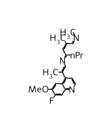 CCCC(/C=C(C)\C=N/C)=N\C=C(/C)c1ccnc2cc(F)c(OC)cc12